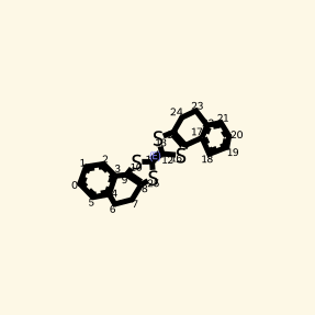 c1ccc2c(c1)CCC1=C2S/C(=C2\SC3=C(S2)c2ccccc2CC3)S1